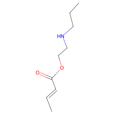 C/C=C/C(=O)OCCNCCC